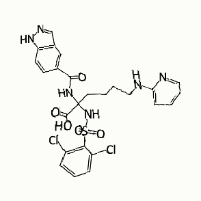 O=C(NC(CCCCNc1ccccn1)(NS(=O)(=O)c1c(Cl)cccc1Cl)C(=O)O)c1ccc2[nH]ncc2c1